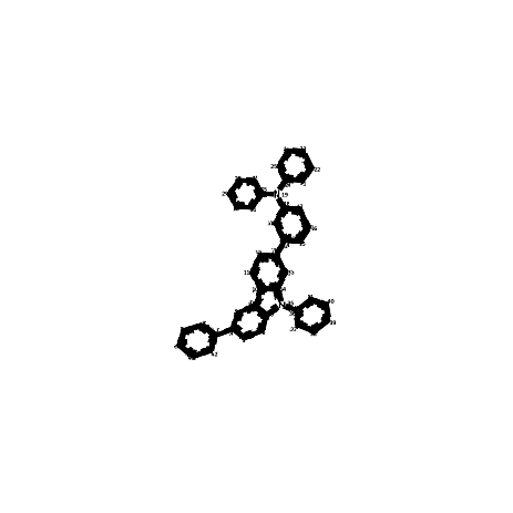 c1ccc(-c2ccc3c(c2)c2ccc(-c4cccc(N(c5ccccc5)c5ccccc5)c4)cc2n3-c2ccccc2)cc1